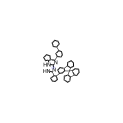 N=C(/N=c1/nc(-c2cccc(-c3ccccc3)c2)c2ccccc2[nH]1)c1ccccc1-c1ccc2c(c1)C1(c3ccccc3-c3ccccc31)c1ccccc1-2